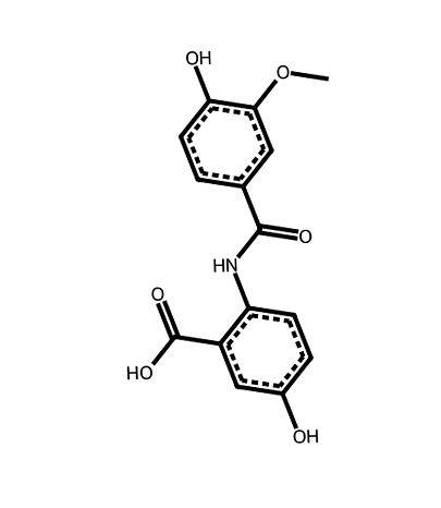 COc1cc(C(=O)Nc2ccc(O)cc2C(=O)O)ccc1O